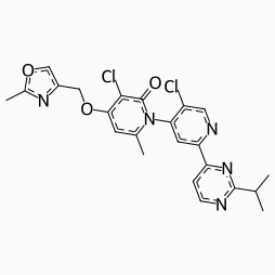 Cc1nc(COc2cc(C)n(-c3cc(-c4ccnc(C(C)C)n4)ncc3Cl)c(=O)c2Cl)co1